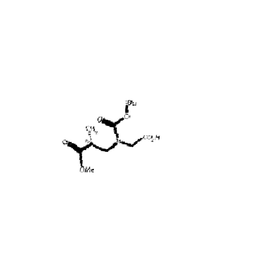 COC(=O)[C@H](C)CN(CC(=O)O)C(=O)OC(C)(C)C